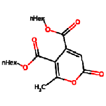 CCCCCCOC(=O)c1cc(=O)oc(C)c1C(=O)OCCCCCC